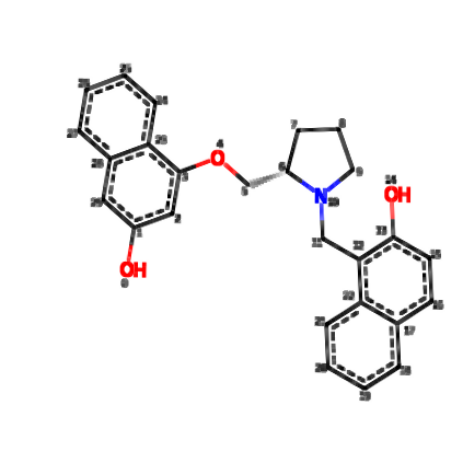 Oc1cc(OC[C@@H]2CCCN2Cc2c(O)ccc3ccccc23)c2ccccc2c1